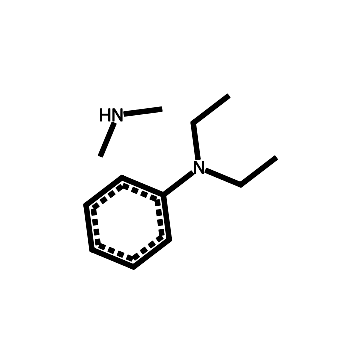 CCN(CC)c1ccccc1.CNC